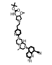 [2H]c1ccc2c(N3C[C@@H]4CN(c5ccc(CCN6C[C@H](NC(=O)OC(C)(C)C)[C@@H](OC)C6)cn5)CCN4[C@H](C)C3)ccc(C#N)c2n1